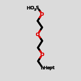 CCCCCCCCOCCOCCOS(=O)(=O)O